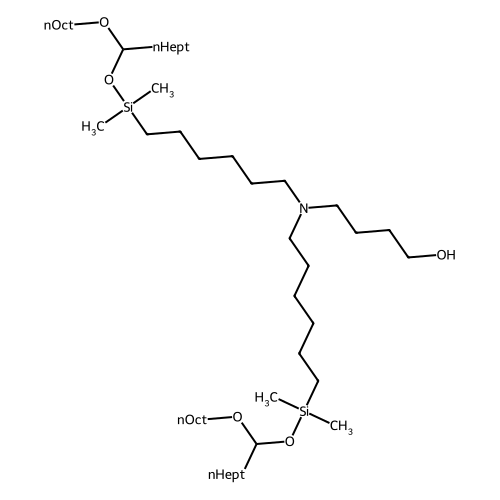 CCCCCCCCOC(CCCCCCC)O[Si](C)(C)CCCCCCN(CCCCO)CCCCCC[Si](C)(C)OC(CCCCCCC)OCCCCCCCC